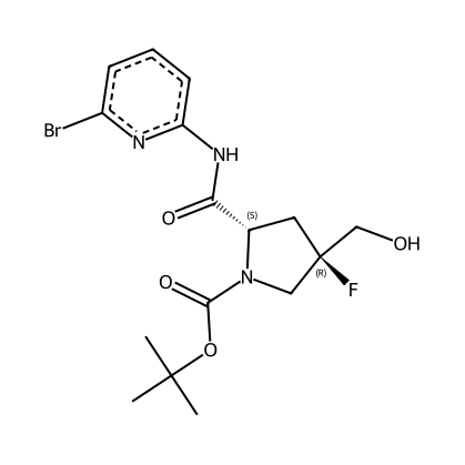 CC(C)(C)OC(=O)N1C[C@@](F)(CO)C[C@H]1C(=O)Nc1cccc(Br)n1